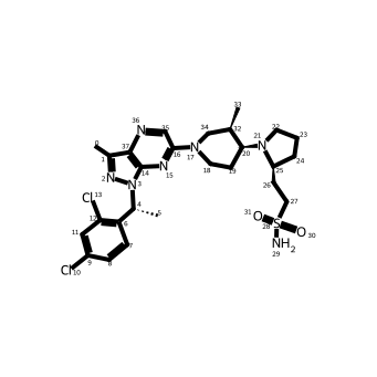 Cc1nn([C@H](C)c2ccc(Cl)cc2Cl)c2nc(N3CC[C@H](N4CCC[C@H]4CCS(N)(=O)=O)[C@H](C)C3)cnc12